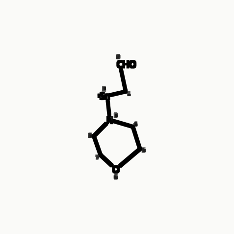 O=C[CH2][Sn][N]1CCOCC1